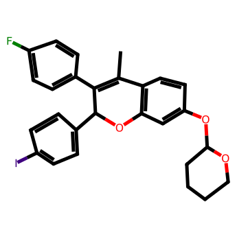 CC1=C(c2ccc(F)cc2)C(c2ccc(I)cc2)Oc2cc(OC3CCCCO3)ccc21